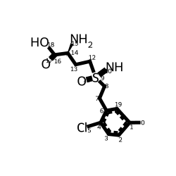 Cc1ccc(Cl)c(CCS(=N)(=O)CC[C@H](N)C(=O)O)c1